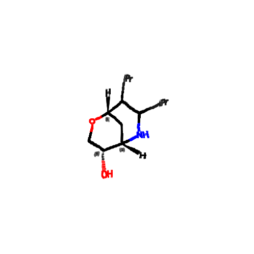 CC(C)C1N[C@H]2C[C@H](OC[C@H]2O)C1C(C)C